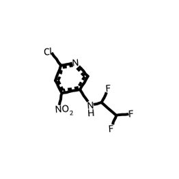 O=[N+]([O-])c1cc(Cl)ncc1NC(F)C(F)F